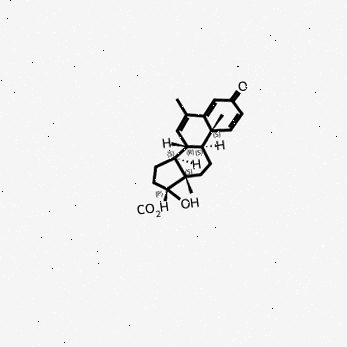 CC1=C[C@@H]2[C@H](CC[C@@]3(C)[C@H]2CC[C@]3(O)C(=O)O)[C@@]2(C)C=CC(=O)C=C12